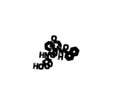 O=C[C@H](CC(=O)O)NC(=O)[C@@H]1CCCN2C(=O)CCN(NC(=O)c3cccc4ccccc34)C(=O)N12